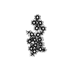 CC(C)(C)c1ccc(N(c2ccc(C(C)(C)Cc3cccc(N4c5ccccc5B5c6ccccc6N(c6ccccc6)c6cccc4c65)c3)cc2)c2cc3c(c4c2oc2ccccc24)-c2c(cc(N(c4ccc(C(C)(C)C)cc4)c4ccc(C(C)(C)C)cc4)c4c2oc2ccccc24)C3(c2ccccc2)c2ccccc2)cc1